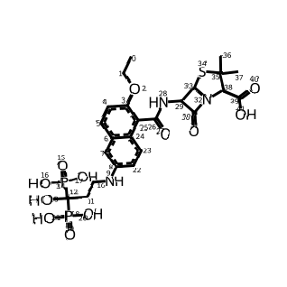 CCOc1ccc2cc(NCCC(O)(P(=O)(O)O)P(=O)(O)O)ccc2c1C(=O)NC1C(=O)N2C1SC(C)(C)C2C(=O)O